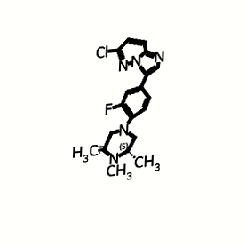 C[C@@H]1CN(c2ccc(-c3cnc4ccc(Cl)nn34)cc2F)C[C@H](C)N1C